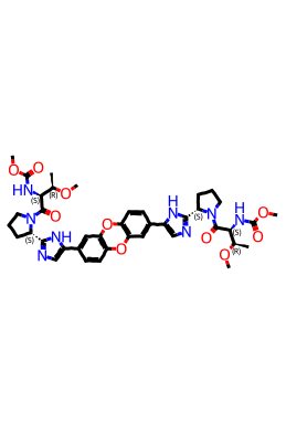 COC(=O)N[C@H](C(=O)N1CCC[C@H]1c1ncc(-c2ccc3c(c2)Oc2ccc(-c4cnc([C@@H]5CCCN5C(=O)[C@@H](NC(=O)OC)[C@@H](C)OC)[nH]4)cc2O3)[nH]1)[C@@H](C)OC